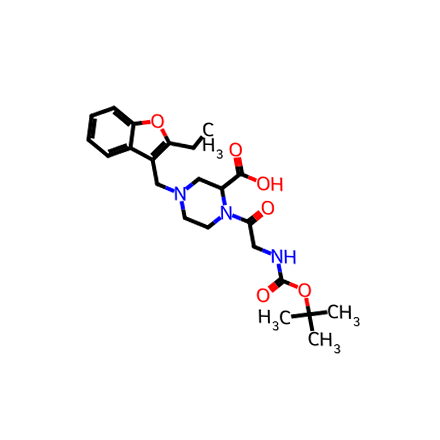 CCc1oc2ccccc2c1CN1CCN(C(=O)CNC(=O)OC(C)(C)C)C(C(=O)O)C1